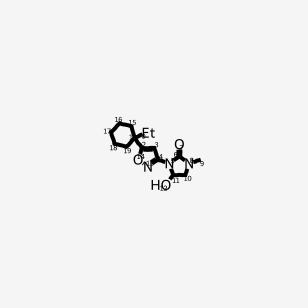 CCC1(c2cc(N3C(=O)N(C)CC3O)no2)CCCCC1